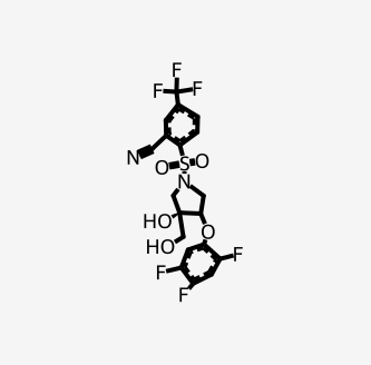 N#Cc1cc(C(F)(F)F)ccc1S(=O)(=O)N1CC(Oc2cc(F)c(F)cc2F)[C@](O)(CO)C1